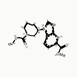 COC(=O)c1ccc2c(ncn2[C@@H]2CCCN(C(=O)OC(C)(C)C)C2)n1